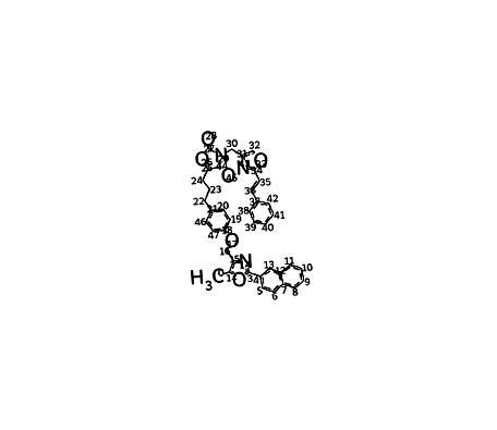 Cc1oc(-c2ccc3ccccc3c2)nc1COc1ccc(CCCC2OC(=O)N(Cc3coc(C=Cc4ccccc4)n3)C2=O)cc1